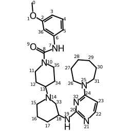 COc1cccc(NC(=O)N2CCC(N3CCCC(Nc4nccc(N5CCCCCC5)n4)C3)CC2)c1